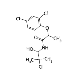 CC(Oc1ccc(Cl)cc1Cl)C(=O)NC(O)C(C)(C)Cl